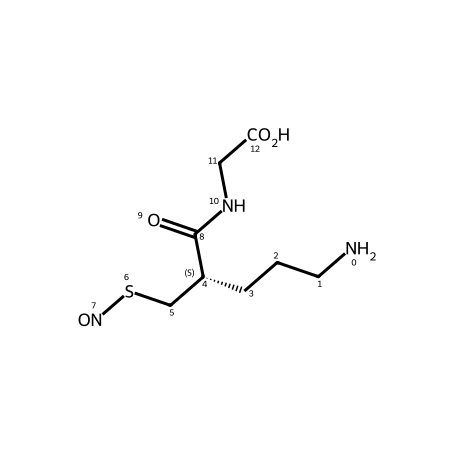 NCCC[C@H](CSN=O)C(=O)NCC(=O)O